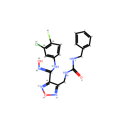 O=C(NCc1ccccc1)NCc1nonc1/C(=N/O)Nc1ccc(F)c(Cl)c1